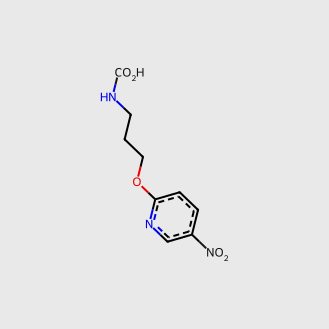 O=C(O)NCCCOc1ccc([N+](=O)[O-])cn1